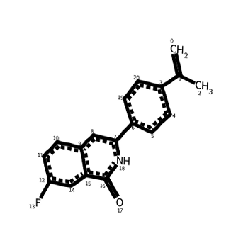 C=C(C)c1ccc(-c2cc3ccc(F)cc3c(=O)[nH]2)cc1